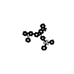 CC1(C)c2ccccc2-c2cc3c4cc(-c5ccc6c7ccccc7n(-c7ccccc7)c6c5)ccc4n(-c4ccc(-c5nc(-c6ccccc6)nc(-c6ccccc6)n5)cc4)c3cc21